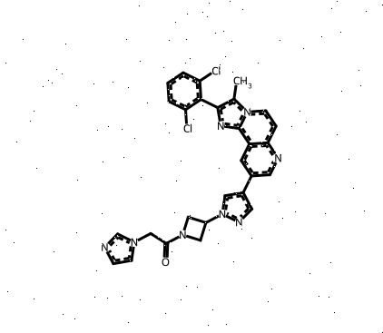 Cc1c(-c2c(Cl)cccc2Cl)nc2c3cc(-c4cnn(C5CN(C(=O)Cn6ccnc6)C5)c4)cnc3ccn12